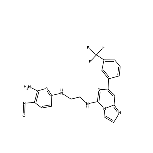 Nc1nc(NCCNc2nc(-c3cccc(C(F)(F)F)c3)cc3nccn23)ccc1N=O